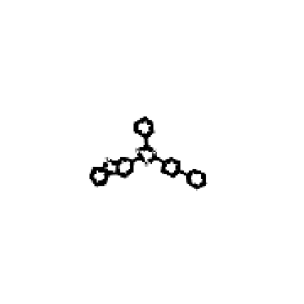 c1ccc(-c2ccc(-c3nc(-c4ccccc4)nc(-c4ccc5c(c4)sc4ccccc45)n3)cc2)cc1